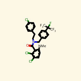 CNc1ccc(Cl)c(Cl)c1C(=O)N(CCc1ccc(Cl)cc1)Cc1ccc(C(F)(C(F)(F)F)C(F)(F)F)cc1